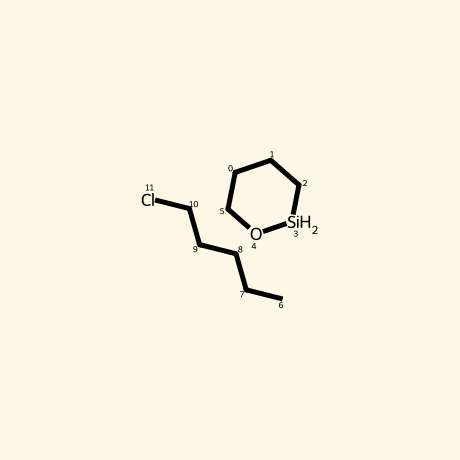 C1CC[SiH2]OC1.CCCCCCl